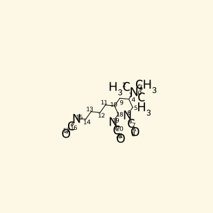 C[N+](C)(C)C(CN=C=O)CC(CCCCN=C=O)CN=C=O